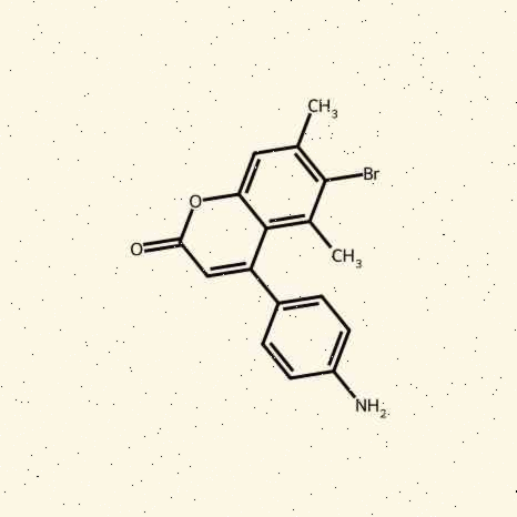 Cc1cc2oc(=O)cc(-c3ccc(N)cc3)c2c(C)c1Br